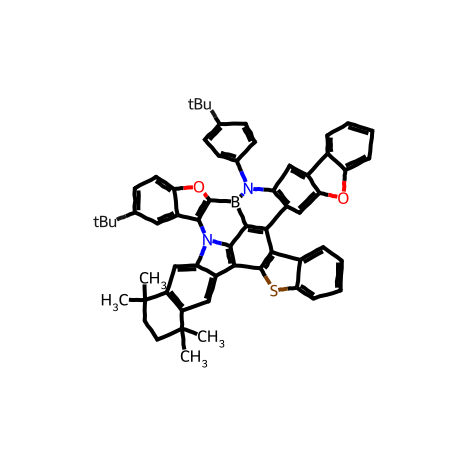 CC(C)(C)c1ccc(N2B3c4oc5ccc(C(C)(C)C)cc5c4-n4c5cc6c(cc5c5c7sc8ccccc8c7c(c3c54)-c3cc4oc5ccccc5c4cc32)C(C)(C)CCC6(C)C)cc1